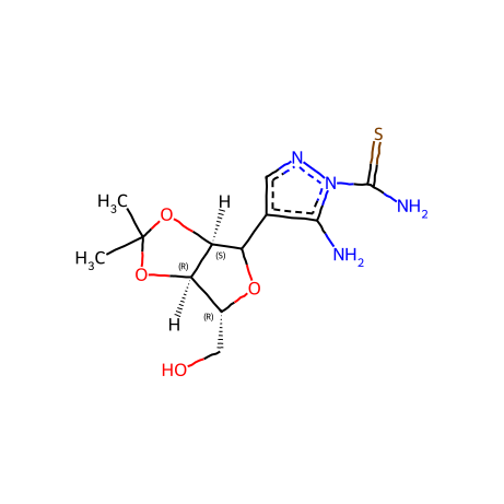 CC1(C)O[C@@H]2[C@@H](CO)OC(c3cnn(C(N)=S)c3N)[C@@H]2O1